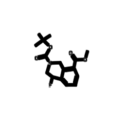 COC(=O)c1cccc2c1CN(C(=O)OC(C)(C)C)CC2F